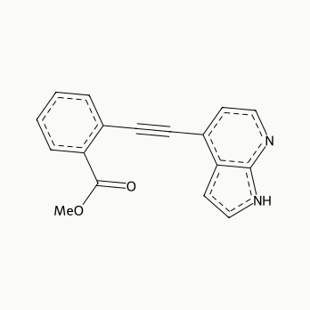 COC(=O)c1ccccc1C#Cc1ccnc2[nH]ccc12